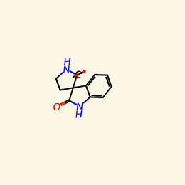 O=C1Nc2ccccc2C12CCNC21CCCCC1